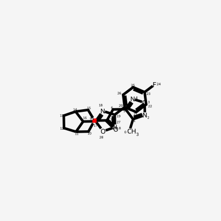 Cc1nonc1CC(=O)N1CC2CCC(C1)C2c1nc(-c2ccc(F)cc2)no1